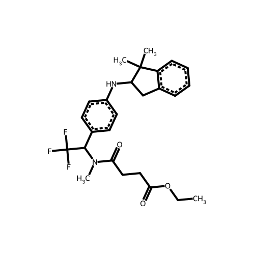 CCOC(=O)CCC(=O)N(C)C(c1ccc(NC2Cc3ccccc3C2(C)C)cc1)C(F)(F)F